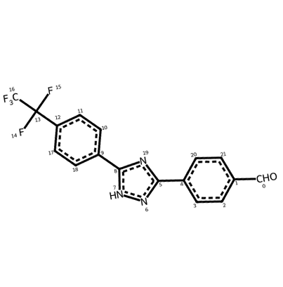 O=Cc1ccc(-c2n[nH]c(-c3ccc(C(F)(F)C(F)(F)F)cc3)n2)cc1